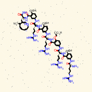 C=C1/C=C\C=C/CN/C=C\1C[C@@H](NC(=O)c1cc(NC(=O)[C@@H](CCCNC(=N)N)NC(=O)c2cc(NC(=O)[C@@H](CCCNC(=N)N)NC(=O)c3cc(NC(=O)[C@@H](CCCNC(=N)N)NC(=O)c4cc(NC(=O)[C@H](N)CCCNC(=N)N)ccc4OC)ccc3OCC(=O)O)ccc2OC)ccc1OC)C(N)=O